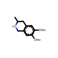 COc1cc2c(cc1OC)CC(C)NC2